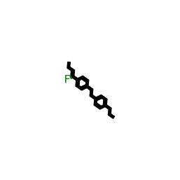 CCC=C(F)c1ccc(CCc2ccc(CCC)cc2)cc1